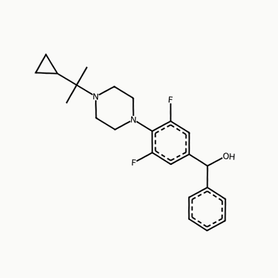 CC(C)(C1CC1)N1CCN(c2c(F)cc(C(O)c3ccccc3)cc2F)CC1